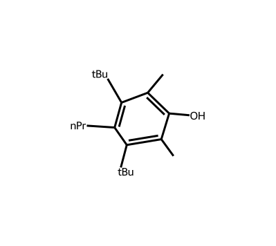 CCCc1c(C(C)(C)C)c(C)c(O)c(C)c1C(C)(C)C